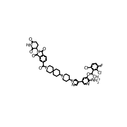 C[C@@H](Oc1cc(-c2cnn(C3CCN(C4CCC5(CC4)CCN(C(=O)c4ccc6c(c4)C(=O)N(C4CCC(=O)NC4=O)C6=O)CC5)CC3)c2)cnc1N)c1c(Cl)ccc(F)c1Cl